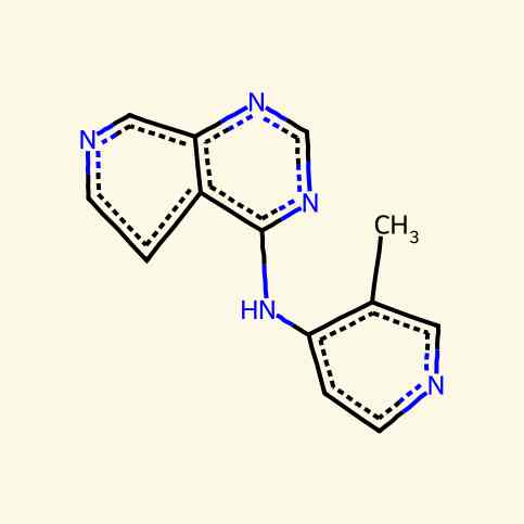 Cc1cnccc1Nc1ncnc2cnccc12